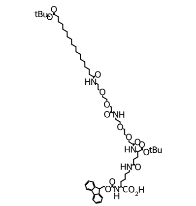 CC(C)(C)OC(=O)CCCCCCCCCCCCCCCCC(=O)NCCOCCOCC(=O)NCCOCCOCC(=O)NC(CCC(=O)NCCCCC(NC(=O)OCC1c2ccccc2-c2ccccc21)C(=O)O)C(=O)OC(C)(C)C